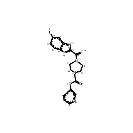 O=C(Oc1cccnc1)N1CCN(C(=O)c2nc3cc(F)ccc3s2)CC1